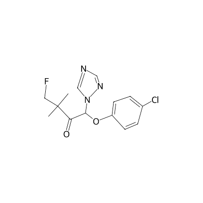 CC(C)(CF)C(=O)C(Oc1ccc(Cl)cc1)n1cncn1